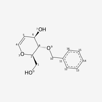 OC[C@H]1OC=C[C@@H](O)[C@@H]1OCc1ccccc1